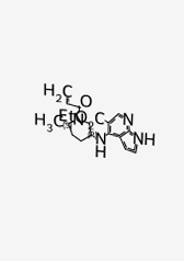 C=CC(=O)N1C[C@H](Nc2c(C(=O)OCC)cnc3[nH]ccc23)CC[C@@H]1C